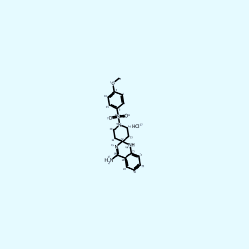 COc1ccc(S(=O)(=O)N2CCC3(CC2)N=C(N)c2ccccc2N3)cc1.Cl